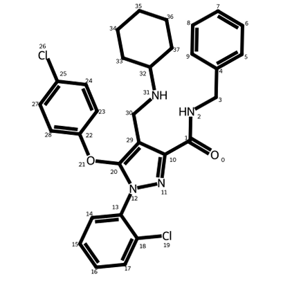 O=C(NCc1ccccc1)c1nn(-c2ccccc2Cl)c(Oc2ccc(Cl)cc2)c1CNC1CCCCC1